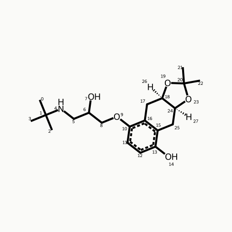 CC(C)(C)NCC(O)COc1ccc(O)c2c1C[C@H]1OC(C)(C)O[C@H]1C2